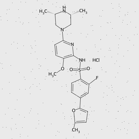 COc1ccc(N2C[C@@H](C)N[C@@H](C)C2)nc1NS(=O)(=O)c1ccc(-c2ccc(C)o2)cc1F.Cl